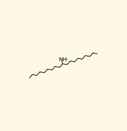 CCCCCCCCCC([NH])CCCCCCCCC